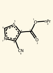 CCCOC(=O)c1scnc1C#N